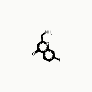 NCc1cc(=O)c2ccc(I)cc2o1